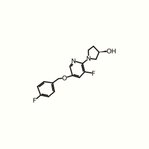 O[C@@H]1CCN(c2ncc(OCc3ccc(F)cc3)cc2F)C1